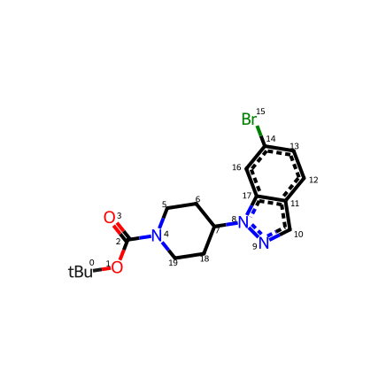 CC(C)(C)OC(=O)N1CCC(n2ncc3ccc(Br)cc32)CC1